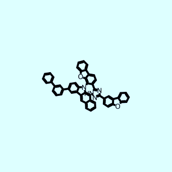 c1ccc(-c2cccc(-c3ccc4c(c3)c3cc5ccccc5cc3n4-c3c(-c4nc(-c5ccc6oc7ccccc7c6c5)n[nH]4)ccc4c3oc3ccccc34)c2)cc1